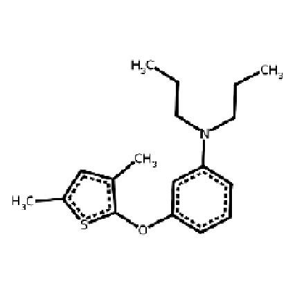 CCCN(CCC)c1cccc(Oc2sc(C)cc2C)c1